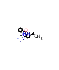 Cc1ccccc1C(=O)n1nc(N)c2ccc(C3CC3C)nc21